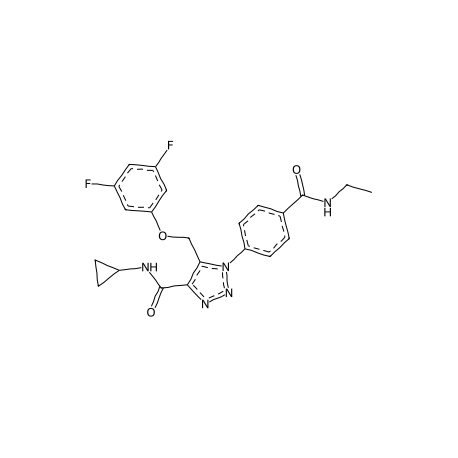 CCNC(=O)c1ccc(-n2nnc(C(=O)NC3CC3)c2COc2cc(F)cc(F)c2)cc1